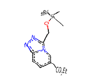 CCOC(=O)c1ccc2nnc(CO[Si](C)(C)C(C)(C)C)n2c1